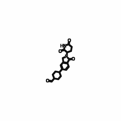 O=CC1CCC(c2ccc3c(c2)CN(C2CCC(=O)NC2=O)C3=O)CC1